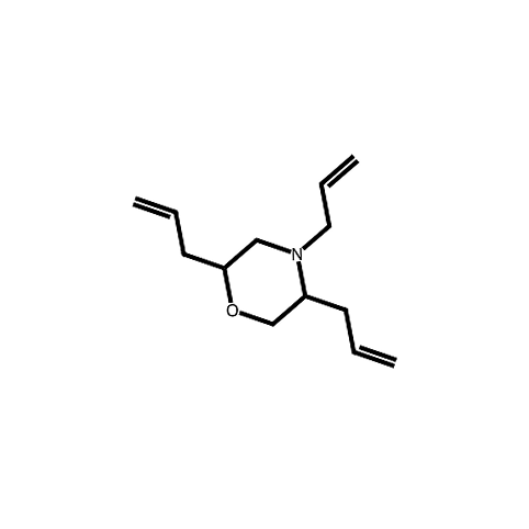 C=CCC1CN(CC=C)C(CC=C)CO1